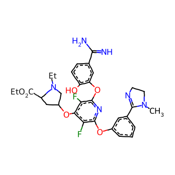 CCOC(=O)C1CC(Oc2c(F)c(Oc3cccc(C4=NCCN4C)c3)nc(Oc3cc(C(=N)N)ccc3O)c2F)CN1CC